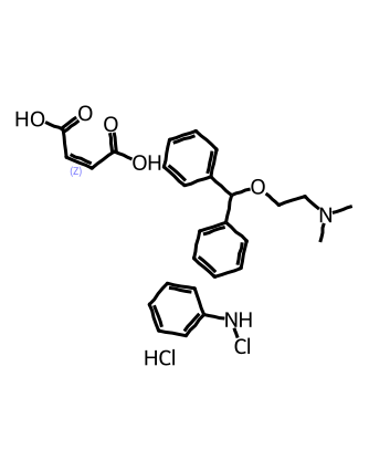 CN(C)CCOC(c1ccccc1)c1ccccc1.Cl.ClNc1ccccc1.O=C(O)/C=C\C(=O)O